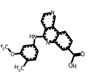 COc1cc(Nc2nc3cc(C(=O)O)ccc3c3cnccc23)ccc1C